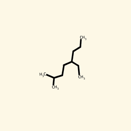 CCCC([CH]CC(C)C)CC